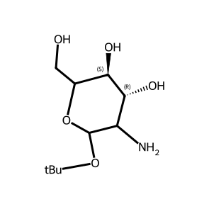 CC(C)(C)OC1OC(CO)[C@@H](O)[C@H](O)C1N